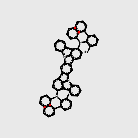 CC(C)c1cccc(-c2ccccc2)c1N(c1ccccc1)c1ccc2c3cc4c(cc3n3c5ccccc5c1c23)c1ccc(N(c2ccccc2)c2c(-c3ccccc3)cccc2C(C)C)c2c3ccccc3n4c12